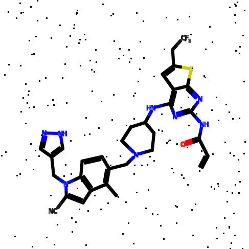 C=CC(=O)Nc1nc(NC2CCN(Cc3ccc4c(cc(C#N)n4Cc4cn[nH]c4)c3C)CC2)c2cc(CC(F)(F)F)sc2n1